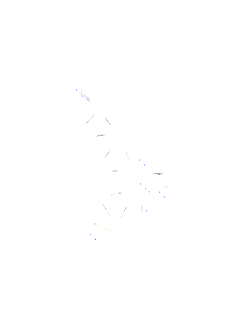 N#Cc1ccc(-c2cccc(Nc3nc(Nc4cccc(S(N)(=O)=O)c4)ncc3F)c2)cc1